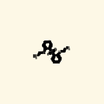 CCOc1ccccc1S(=O)(=O)c1ccccc1OCC